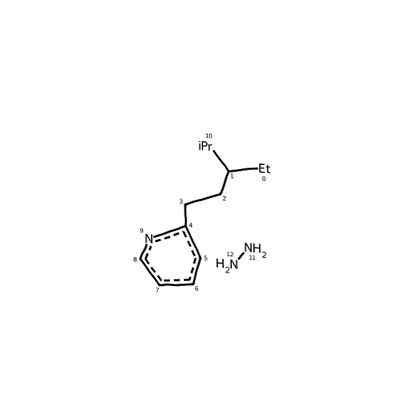 CCC(CCc1ccccn1)C(C)C.NN